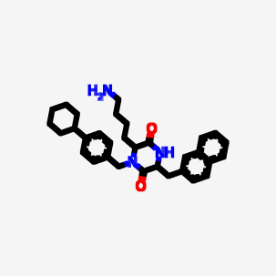 NCCCCC1C(=O)NC(Cc2ccc3ccccc3c2)C(=O)N1Cc1ccc(C2CCCCC2)cc1